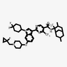 CC1CC2CC(C)C(NC(=O)c3cnc(-c4cn(C5CCC(F)(F)CC5)c5cc(OC6CCN(CC7(F)CC7)CC6)ccc45)nc3C(F)(F)F)(C(=O)O)C(C1)C2